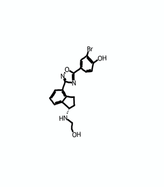 OCCN[C@H]1CCc2c(-c3noc(-c4ccc(O)c(Br)c4)n3)cccc21